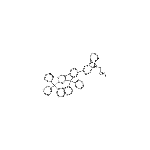 CCn1c2ccccc2c2cc(-c3ccc4c(c3)C(c3ccccc3)(c3ccccc3)c3cc(C(c5ccccc5)(c5ccccc5)c5ccccc5)ccc3-4)ccc21